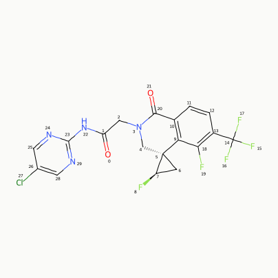 O=C(CN1C[C@@]2(C[C@H]2F)c2c(ccc(C(F)(F)F)c2F)C1=O)Nc1ncc(Cl)cn1